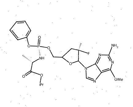 COc1nc(N)nc2c1ncn2C1OC(CO[P@@](=O)(N[C@@H](C)C(=O)OC(C)C)Oc2ccccc2)C[C@@]1(C)F